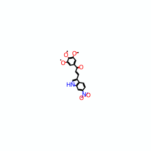 COc1cc(C(=O)/C=C/c2c[nH]c3cc([N+](=O)[O-])ccc23)cc(OC)c1OC